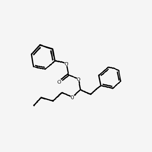 CCCCOC(Cc1ccccc1)OC(=O)Oc1ccccc1